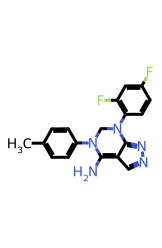 Cc1ccc(N2CN(c3ccc(F)cc3F)C3=NN=CC3=C2N)cc1